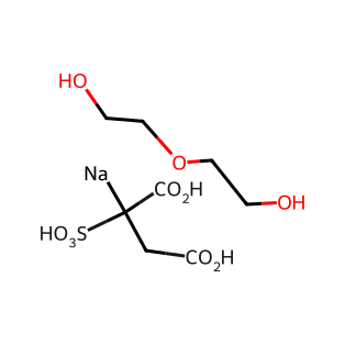 O=C(O)C[C]([Na])(C(=O)O)S(=O)(=O)O.OCCOCCO